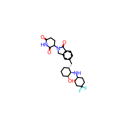 O=C1CCC(N2Cc3cc(C[C@H]4CCC[C@H](O)[C@@H]4NC4CCC(F)(F)CC4)ccc3C2=O)C(=O)N1